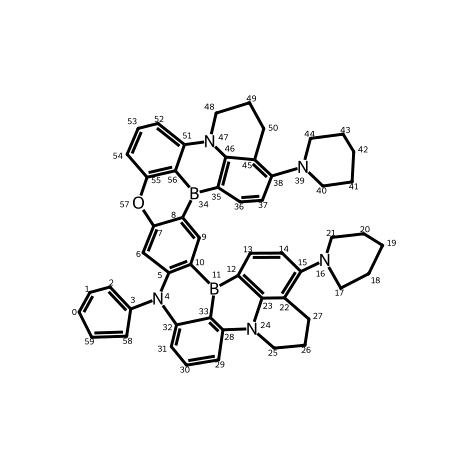 c1ccc(N2c3cc4c(cc3B3c5ccc(N6CCCCC6)c6c5N(CCC6)c5cccc2c53)B2c3ccc(N5CCCCC5)c5c3N(CCC5)c3cccc(c32)O4)cc1